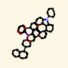 c1ccc(-c2ccccc2-c2c(-c3ccccc3)cccc2-c2ccccc2N(c2ccc(-c3cccc4ccccc34)cc2)c2cccc(-c3cccc4c3c3ccccc3n4-c3ccccc3)c2)cc1